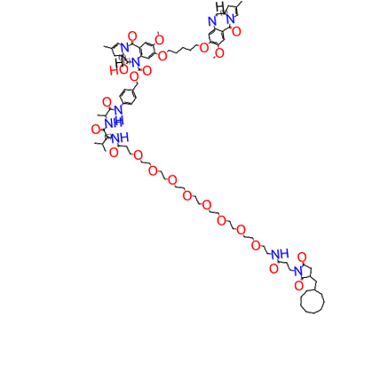 COc1cc2c(cc1OCCCCCOc1cc3c(cc1OC)C(=O)N1C=C(C)C[C@H]1[C@H](O)N3C(=O)OCc1ccc(NC(=O)C(C)NC(=O)[C@@H](NC(=O)CCOCCOCCOCCOCCOCCOCCOCCOCCNC(=O)CCN3C(=O)CC(CC4CCCCCCCC4)C3=O)C(C)C)cc1)N=C[C@@H]1CC(C)=CN1C2=O